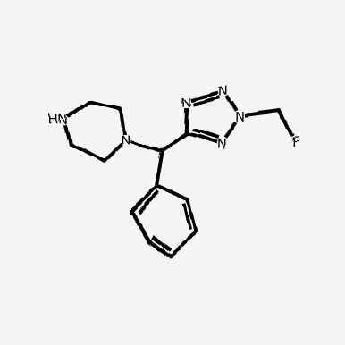 FCn1nnc(C(c2ccccc2)N2CCNCC2)n1